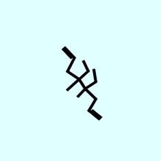 C=CCC(C)(CC)C(C)(CC)CC=C